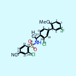 COc1ccc(F)cc1-c1ccc(C(C)NS(=O)(=O)c2ccc(C#N)cc2Cl)c(Cl)c1